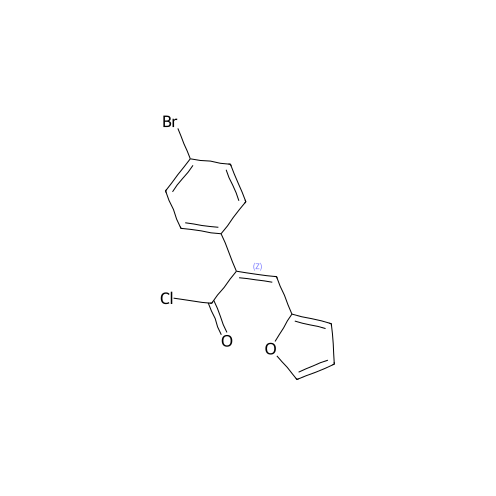 O=C(Cl)/C(=C\c1ccco1)c1ccc(Br)cc1